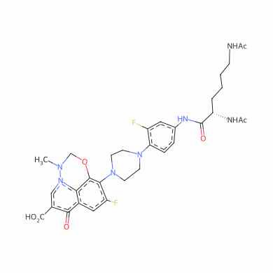 CC(=O)NCCCC[C@H](NC(C)=O)C(=O)Nc1ccc(N2CCN(c3c(F)cc4c(=O)c(C(=O)O)cn5c4c3OCN5C)CC2)c(F)c1